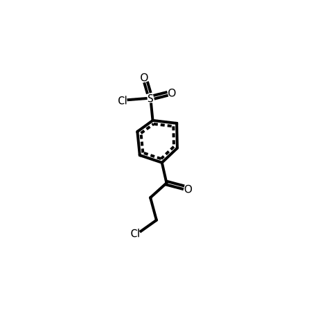 O=C(CCCl)c1ccc(S(=O)(=O)Cl)cc1